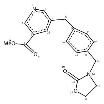 COC(=O)c1cncc(Cc2ccc(CN3CCOC3=O)cc2)c1